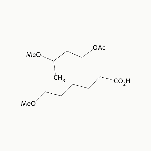 COC(C)CCOC(C)=O.COCCCCCC(=O)O